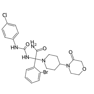 NC(=O)C(NC(=O)Nc1ccc(Cl)cc1)(c1ccccc1Br)N1CCC(N2CCOCC2=O)CC1